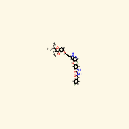 C=C(C(=O)C(C)C)C(O)c1cccc(OCC#Cc2cc3c(Oc4ccc(NC(=O)NC(=O)Cc5ccc(F)cc5)cc4F)ccnc3[nH]2)c1